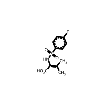 CC(C)=C(NS(=O)(=O)c1ccc(F)cc1)C(=O)O